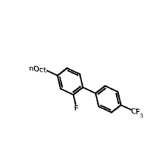 CCCCCCCCc1ccc(-c2ccc(C(F)(F)F)cc2)c(F)c1